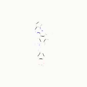 Cc1c(Cl)c(NCCc2ccc3c(c2)OCCO3)cc(-c2ncc3ccsc3n2)c1C(=O)O